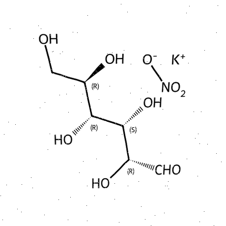 O=C[C@H](O)[C@@H](O)[C@H](O)[C@H](O)CO.O=[N+]([O-])[O-].[K+]